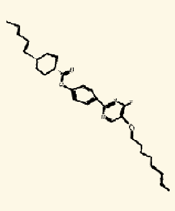 CCCCCCCCOc1cnc(-c2ccc(OC(=O)[C@H]3CC[C@H](CCCCC)CC3)cc2)nc1F